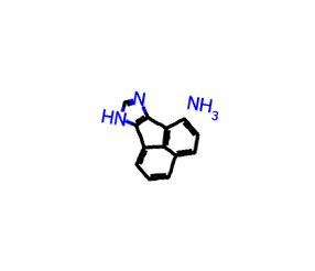 N.c1cc2c3c(cccc3c1)-c1[nH]cnc1-2